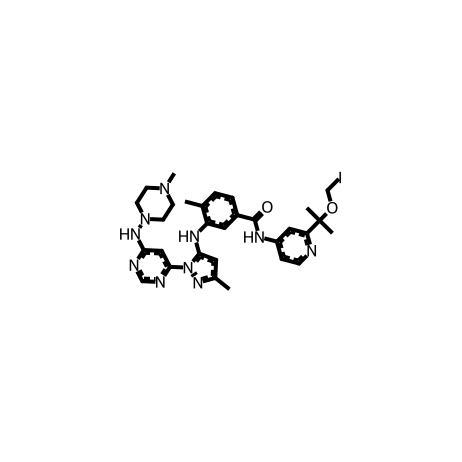 Cc1cc(Nc2cc(C(=O)Nc3ccnc(C(C)(C)OCI)c3)ccc2C)n(-c2cc(NN3CCN(C)CC3)ncn2)n1